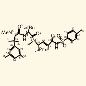 CN[C@H](C(=O)N[C@H](C(=O)N(C)[C@H](/C=C(\C)C(=O)NS(=O)(=O)c1ccc(C)cc1)C(C)C)C(C)(C)C)C(C)(C)c1cc(C)cc(C)c1